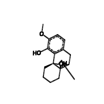 COc1ccc2c(c1O)[C@@]13CCCC[C@@]1(O)C(C2)N(C)CC3